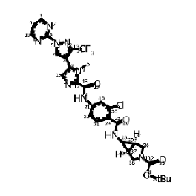 Cn1c(-c2cn(-c3ncccn3)nc2C(F)(F)F)cnc1C(=O)Nc1ccc(C(=O)NC2[C@H]3CN(C(=O)OC(C)(C)C)C[C@@H]23)c(Cl)c1